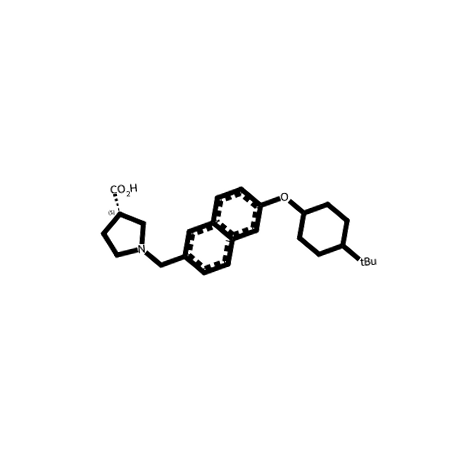 CC(C)(C)C1CCC(Oc2ccc3cc(CN4CC[C@H](C(=O)O)C4)ccc3c2)CC1